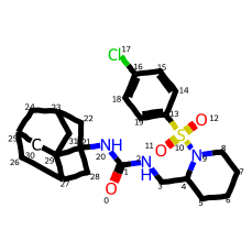 O=C(NCC1CCCCN1S(=O)(=O)c1ccc(Cl)cc1)NC12CC3CC4CC(C1)C2(C4)C3